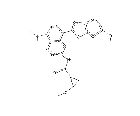 CCC1CC1C(=O)Nc1cc2c(-c3nc4cc(OC)ccc4o3)cnc(NC)c2cn1